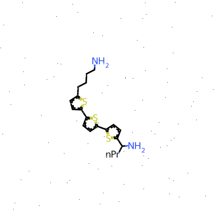 CCCC(N)c1ccc(-c2ccc(-c3ccc(CCCCN)s3)s2)s1